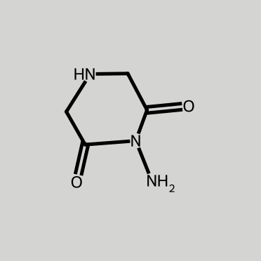 NN1C(=O)CNCC1=O